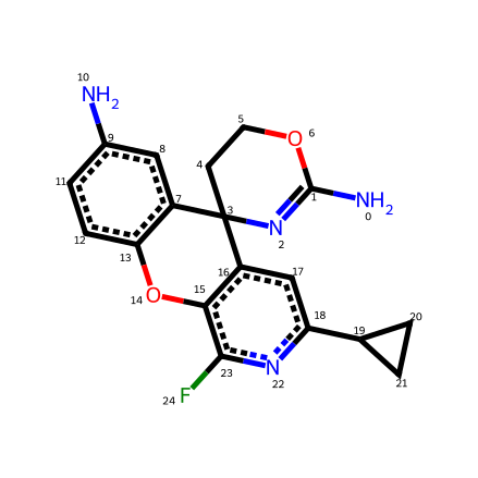 NC1=NC2(CCO1)c1cc(N)ccc1Oc1c2cc(C2CC2)nc1F